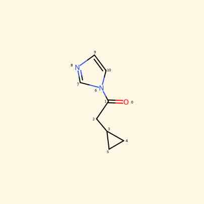 O=C(CC1CC1)n1[c]ncc1